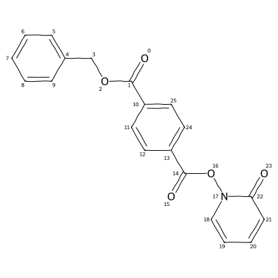 O=C(OCc1ccccc1)c1ccc(C(=O)On2ccccc2=O)cc1